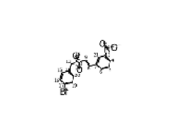 O=[N+]([O-])c1cccc(C=CS(=O)(=O)Cc2ccc(Br)cc2)c1